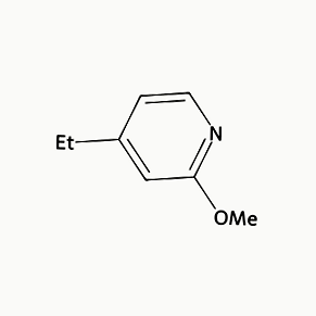 [CH2]Cc1ccnc(OC)c1